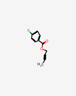 CC#CCOC(=O)c1ccc(F)cc1